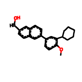 COc1ccc(-c2ccc3cc(BO)ccc3c2)cc1C1CCCCC1